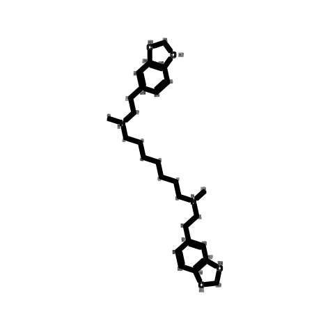 CN(CCCCCCCN(C)CCc1ccc2c(c1)OCO2)CCc1ccc2c(c1)OCO2